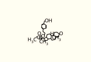 CCOC(=O)O[C@@]1(C(C)=O)CCC2C3CCC4=CC(=O)CC[C@@]4(C)[C@@H]3CC[C@@]21CCCc1ccc(CO)cc1